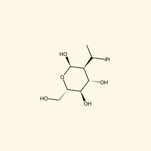 CC(C)C(C)[C@H]1[C@H](O)[C@@H](O)[C@H](CO)O[C@H]1O